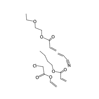 C=CC#N.C=CC(=O)OCCCC.C=CC(=O)OCCOCC.C=COC(=O)CCl